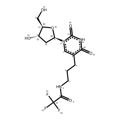 O=C(NCCCc1cn([C@H]2C[C@H](O)[C@@H](CO)O2)c(=O)[nH]c1=O)C(F)(F)F